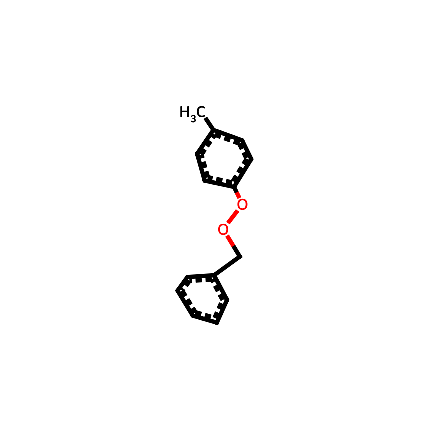 Cc1ccc(OOCc2ccccc2)cc1